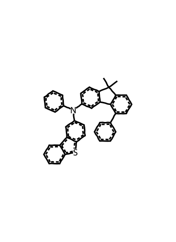 CC1(C)c2ccc(N(c3ccccc3)c3ccc4sc5ccccc5c4c3)cc2-c2c(-c3ccccc3)cccc21